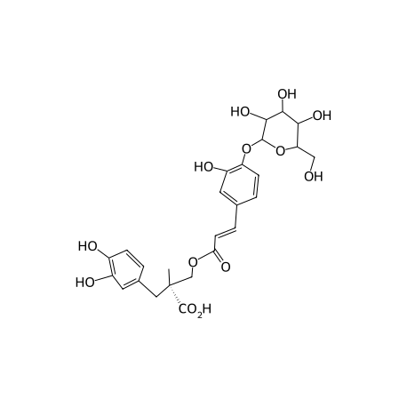 C[C@@](COC(=O)/C=C/c1ccc(OC2OC(CO)C(O)C(O)C2O)c(O)c1)(Cc1ccc(O)c(O)c1)C(=O)O